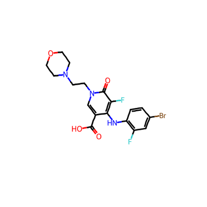 O=C(O)c1cn(CCN2CCOCC2)c(=O)c(F)c1Nc1ccc(Br)cc1F